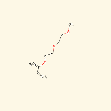 C=CC(=C)OCCOCCOC